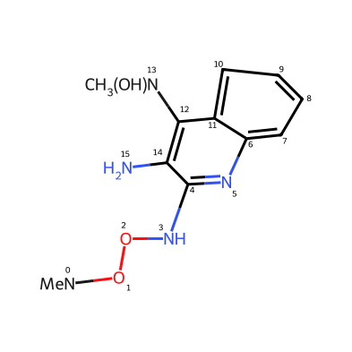 CNOONc1nc2ccccc2c(N(C)O)c1N